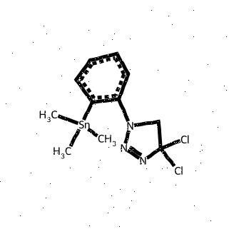 [CH3][Sn]([CH3])([CH3])[c]1ccccc1N1CC(Cl)(Cl)N=N1